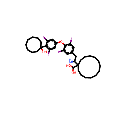 NC(Cc1cc(I)c(Oc2cc(I)c(C3(O)CCCCCCCC3)c(I)c2)c(I)c1)C1(C(O)O)CCCCCCCCCCCC1